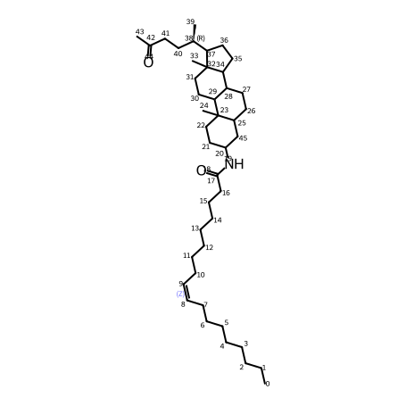 CCCCCCCC/C=C\CCCCCCCC(=O)NC1CCC2(C)C(CCC3C2CCC2(C)C3CCC2[C@H](C)CCC(C)=O)C1